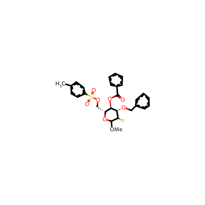 COC1O[C@H](COS(=O)(=O)c2ccc(C)cc2)[C@@H](OC(=O)c2ccccc2)[C@H](OCc2ccccc2)[C@H]1F